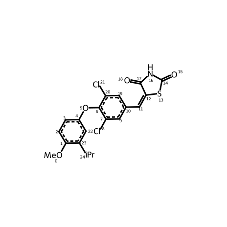 COc1ccc(Oc2c(Cl)cc(/C=C3/SC(=O)NC3=O)cc2Cl)cc1C(C)C